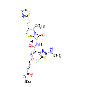 CC(C)(C)OC(=O)/C=C/CO/N=C(/C(=O)NC1C(=O)N2C(C(=O)O)=C(CSc3nncs3)CS[C@H]12)c1nc(NC=O)sc1Cl